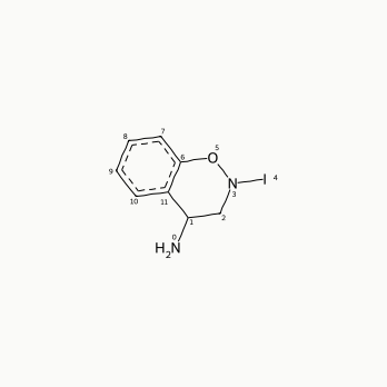 NC1CN(I)Oc2ccccc21